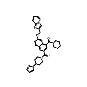 O=C(c1cc(C(=O)N2CCCCC2)c2cc(OCc3cn4ccccc4n3)ccc2n1)N1CCC(n2cccn2)CC1